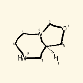 C1CN2COC[C@H]2CN1